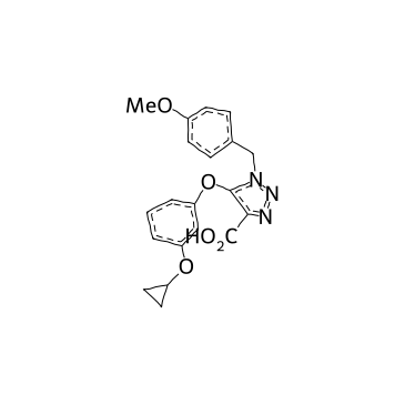 COc1ccc(Cn2nnc(C(=O)O)c2Oc2cccc(OC3CC3)c2)cc1